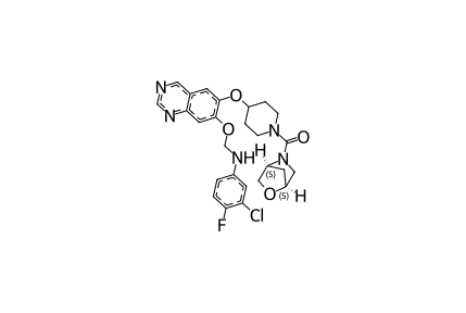 O=C(N1CCC(Oc2cc3cncnc3cc2OCNc2ccc(F)c(Cl)c2)CC1)N1C[C@@H]2C[C@H]1CO2